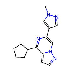 Cn1cc(-c2cn3nccc3c(C3CCCC3)n2)cn1